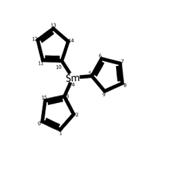 C1=CC[C]([Sm]([C]2=CC=CC2)[C]2=CC=CC2)=C1